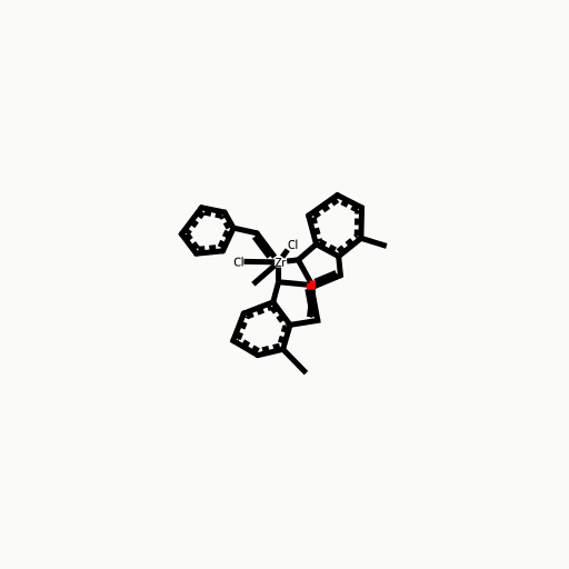 CC1=Cc2c(C)cccc2[CH]1[Zr]([CH3])([Cl])([Cl])(=[CH]c1ccccc1)[CH]1C(C)=Cc2c(C)cccc21